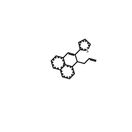 C=CCC1C(c2cccs2)=Cc2cccc3cccc1c23